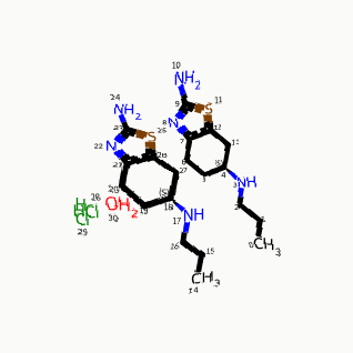 CCCN[C@H]1CCc2nc(N)sc2C1.CCCN[C@H]1CCc2nc(N)sc2C1.Cl.Cl.O